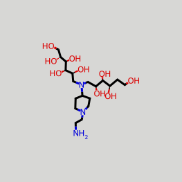 NCCN1CCC(N(C[C@H](O)[C@@H](O)[C@H](O)[C@H](O)CO)C[C@H](O)[C@@H](O)[C@H](O)CCO)CC1